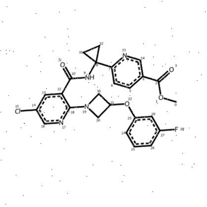 COC(=O)c1ccc(C2(NC(=O)c3cc(Cl)cnc3N3CC(Oc4cccc(F)c4)C3)CC2)nc1